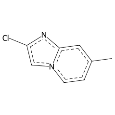 Cc1ccn2cc(Cl)nc2c1